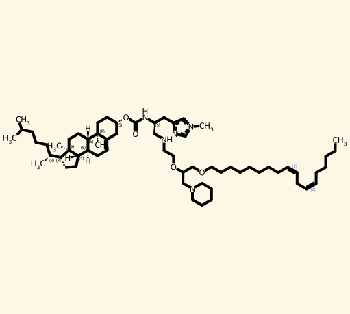 CCCCC/C=C\C/C=C\CCCCCCCCOCC(CN1CCCCC1)OCCNC[C@H](Cc1cn(C)cn1)NC(=O)O[C@H]1CC[C@@]2(C)C(=CC[C@H]3[C@@H]4CC[C@H]([C@H](C)CCCC(C)C)[C@@]4(C)CC[C@@H]32)C1